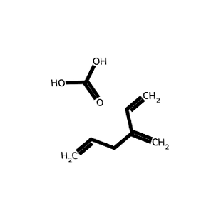 C=CCC(=C)C=C.O=C(O)O